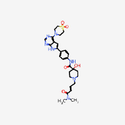 CN(C)C(=O)/C=C/CN1CCC(O)(C(=O)Nc2ccc(-c3cc4c(N5CCS(=O)(=O)CC5)ncnc4[nH]3)cc2)CC1